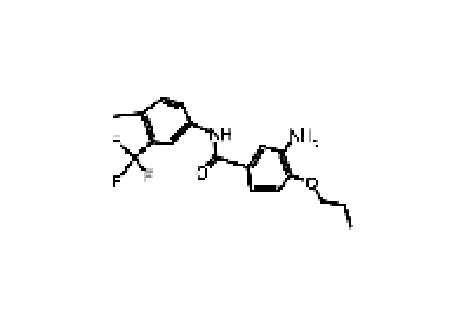 CCCOc1ccc(C(=O)Nc2ccc(C)c(C(F)(F)F)c2)cc1N